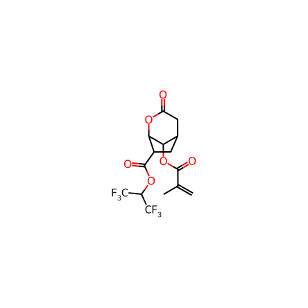 C=C(C)C(=O)OC1C2CC(=O)OC1C(C(=O)OC(C(F)(F)F)C(F)(F)F)C2